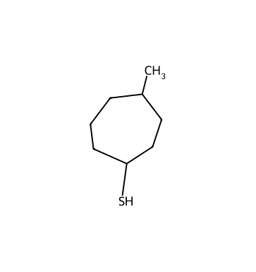 CC1CCCC(S)CC1